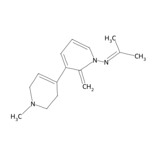 C=C1C(C2=CCN(C)CC2)=CC=CN1N=C(C)C